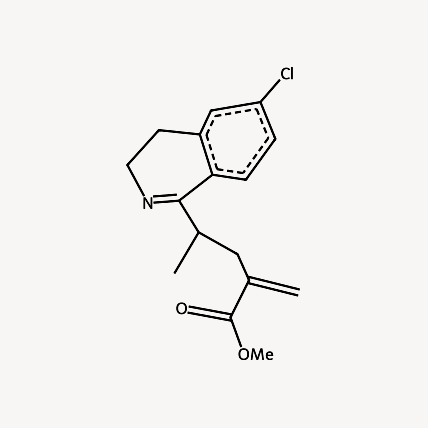 C=C(CC(C)C1=NCCc2cc(Cl)ccc21)C(=O)OC